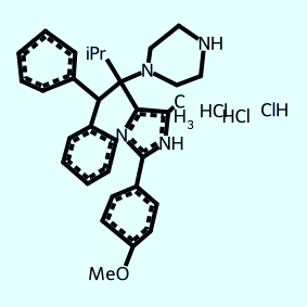 COc1ccc(-c2nc(C(C(C)C)(C(c3ccccc3)c3ccccc3)N3CCNCC3)c(C)[nH]2)cc1.Cl.Cl.Cl